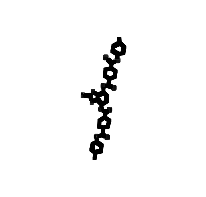 Cc1ccc(OC(=O)C2CCC(C(=O)Oc3ccc(OC(=O)C4CCC(C(=O)Oc5ccc(C)cc5)CC4)c4sc(=S)sc34)CC2)cc1